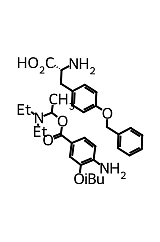 CCN(CC)C(C)OC(=O)c1ccc(N)c(OCC(C)C)c1.N[C@H](Cc1ccc(OCc2ccccc2)cc1)C(=O)O